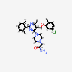 Cc1ccc(Cl)cc1OCc1c(C)nc(-c2c(C)cccc2C)nc1N1CCN(CC(N)=O)CC1